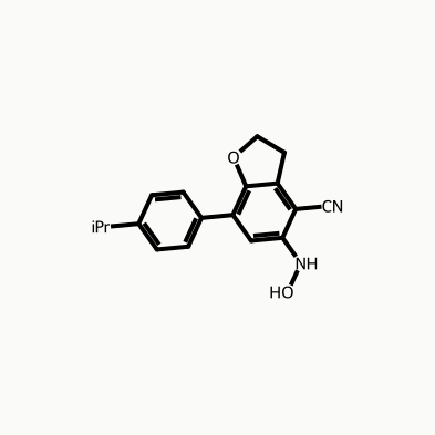 CC(C)c1ccc(-c2cc(NO)c(C#N)c3c2OCC3)cc1